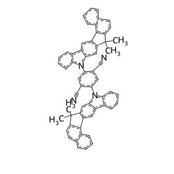 CC1(C)c2cc3c(cc2-c2c1ccc1ccccc21)c1ccccc1n3-c1cc(C#N)c(-n2c3ccccc3c3cc4c(cc32)C(C)(C)c2ccc3ccccc3c2-4)cc1C#N